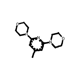 Cc1cc(N2CCOCC2)nc(N2CCOCC2)c1